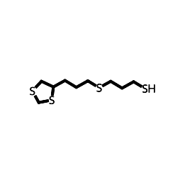 SCCCSCCCC1CSCS1